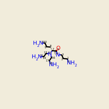 NCCC[N]C(=O)[C@@H](CCCN)N(CCN)CCN